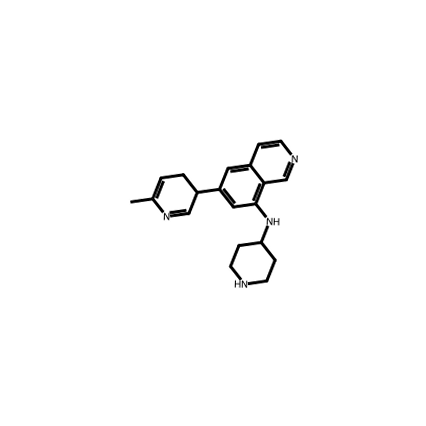 CC1=CCC(c2cc(NC3CCNCC3)c3cnccc3c2)C=N1